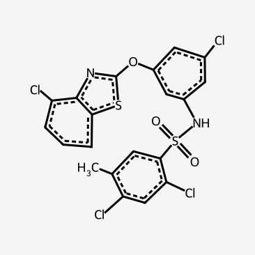 Cc1cc(S(=O)(=O)Nc2cc(Cl)cc(Oc3nc4c(Cl)cccc4s3)c2)c(Cl)cc1Cl